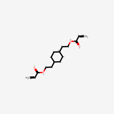 C=CC(=O)OCCC1CCC(CCOC(=O)C=C)CC1